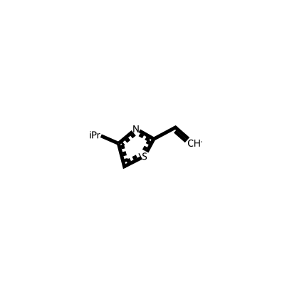 [CH]=Cc1nc(C(C)C)cs1